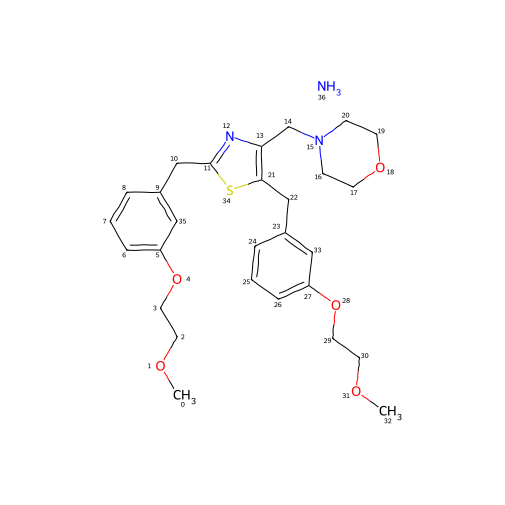 COCCOc1cccc(Cc2nc(CN3CCOCC3)c(Cc3cccc(OCCOC)c3)s2)c1.N